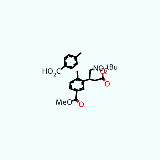 COC(=O)c1ccc(C)c(C(CC(=O)OC(C)(C)C)C[N+](=O)[O-])c1.Cc1ccc(C(=O)O)cc1